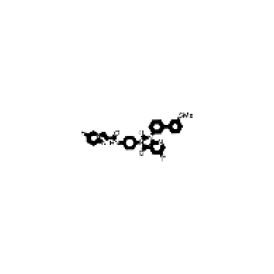 CSc1cccc(-c2cccc(-n3c(=O)n(C4CCC(NC(=O)c5cn6cc(F)ccc6n5)CC4)c(=O)c4cc(F)cnc43)c2)c1